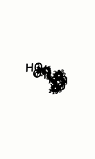 O=C(O)[C@@H]1CCCN(CCC=C2c3ccccc3OCOc3ccccc32)C1